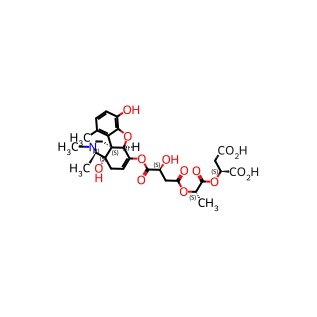 Cc1ccc(O)c2c1[C@]13CCN(C)[C@H](C)[C@]1(O)CC=C(OC(=O)[C@@H](O)CC(=O)O[C@@H](C)C(=O)O[C@@H](CC(=O)O)C(=O)O)[C@@H]3O2